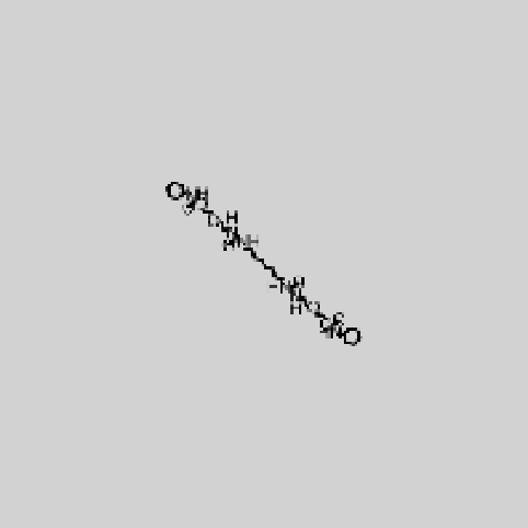 O=C(NCCCCCCCCNC(=O)NCCOCCOC(=O)NC1CCCCC1)NCCOCCOC(=O)NC1CCCCC1